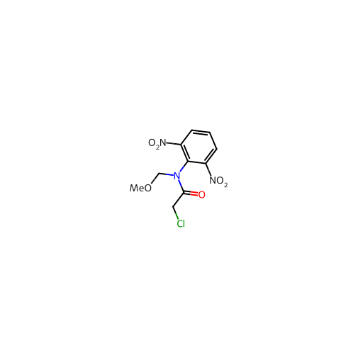 COCN(C(=O)CCl)c1c([N+](=O)[O-])cccc1[N+](=O)[O-]